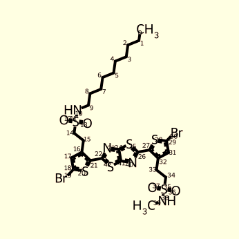 CCCCCCCCCCNS(=O)(=O)CCc1cc(Br)sc1-c1nc2sc(-c3sc(Br)cc3CCS(=O)(=O)NC)nc2s1